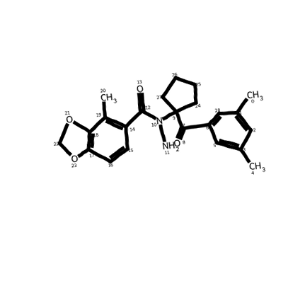 Cc1cc(C)cc(C(=O)C2(N(N)C(=O)c3ccc4c(c3C)OCO4)CCCC2)c1